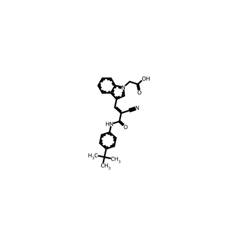 CC(C)(C)c1ccc(NC(=O)/C(C#N)=C/c2cn(CC(=O)O)c3ccccc23)cc1